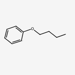 CCCCOc1[c]cccc1